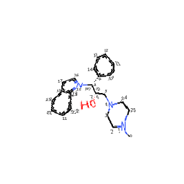 CN1CCN(C[C@H](O)[C@@H](c2ccccc2)n2ccc3ccccc32)CC1